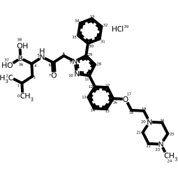 CC(C)CC(NC(=O)Cn1nc(-c2cccc(OCCN3CCN(C)CC3)c2)cc1-c1ccccc1)B(O)O.Cl